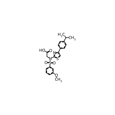 COc1cccc(S(=O)(=O)N(CC(=O)O)c2nc(-c3ccc(C(C)C)cc3)cs2)c1